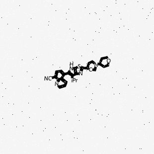 CC(C)c1c(-c2ccc(C#N)c3ncccc23)[nH]c2sc(C3CCN(C4CCOCC4)CC3)nc12